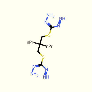 CCCC(CCC)(CSC(N=N)=NN)CSC(N=N)=NN